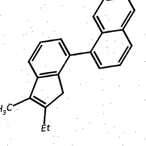 CCC1=C(C)c2cccc(-c3cccc4ccccc34)c2C1